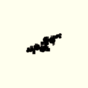 CC(C)CC(=O)Nc1cncc(-c2ccc3[nH]nc(-c4cc5c(-c6cc(F)cc(NCCN(C)C)c6)nccc5[nH]4)c3n2)c1